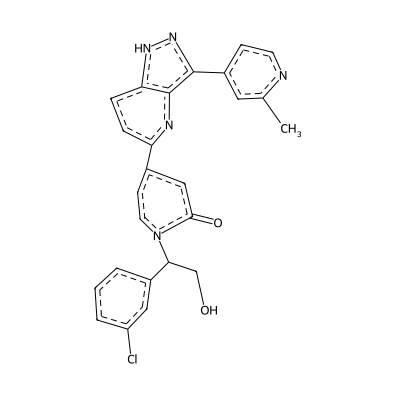 Cc1cc(-c2n[nH]c3ccc(-c4ccn(C(CO)c5cccc(Cl)c5)c(=O)c4)nc23)ccn1